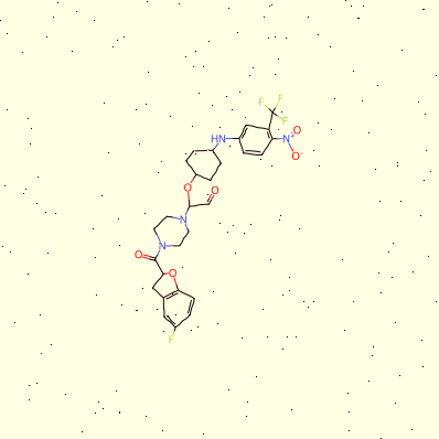 O=CC(OC1CCC(Nc2ccc([N+](=O)[O-])c(C(F)(F)F)c2)CC1)N1CCN(C(=O)C2Cc3cc(F)ccc3O2)CC1